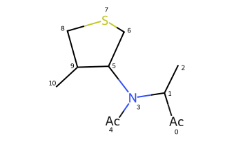 CC(=O)C(C)N(C(C)=O)C1CSCC1C